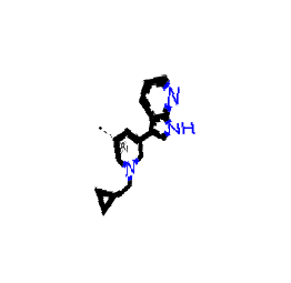 C[C@@H]1C=C(c2c[nH]c3ncccc23)CN(CC2CC2)C1